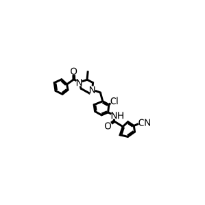 CC1CN(Cc2cccc(NC(=O)c3cccc(C#N)c3)c2Cl)CCN1C(=O)c1ccccc1